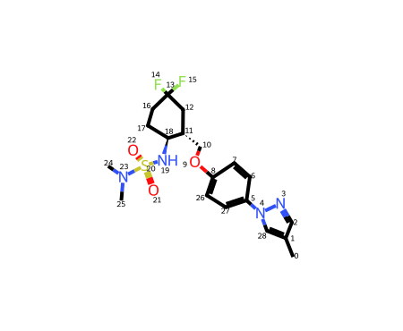 Cc1cnn(-c2ccc(OC[C@H]3CC(F)(F)CC[C@@H]3NS(=O)(=O)N(C)C)cc2)c1